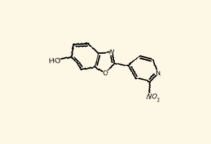 O=[N+]([O-])c1cc(-c2nc3ccc(O)cc3o2)ccn1